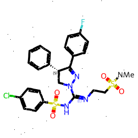 CNS(=O)(=O)CC/N=C(/NS(=O)(=O)c1ccc(Cl)cc1)N1C[C@H](c2ccccc2)C(c2ccc(F)cc2)=N1